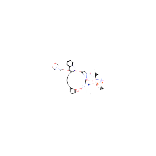 C=C[C@@H]1C[C@]1(NC(=O)[C@@H]1C[C@@H]2CN1C(=O)[C@H](C(C)(C)C)NC(=O)O[C@@H]1CCC[C@H]1CCCCCc1c(nc3ccccc3c1OCCN1CCOCC1)O2)C(=O)NS(=O)(=O)C1CC1